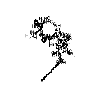 CCCCCCCCCCCCCCCC(=O)NS(=O)(=O)CCCC(=O)N[C@@H](CCC(=O)O)C(=O)N[C@@H](CCC(=O)O)C(=O)N[C@@H](CCC(N)=O)C(=O)N[C@@H](Cc1c[nH]cn1)C(=O)N[C@@H](CCC(=O)O)C(=O)N[C@@H](CCCC)C(=O)N[C@H]1CCC(=O)CNCCCC[C@@H](C(N)=O)NC(=O)[C@H](Cc2c[nH]c3ccccc23)NC(=O)[C@H](CCCNC(=N)N)NC(=O)[C@@H](Cc2ccccc2)NC(=O)[C@@H]2C[C@@H](O)CN2C1=O